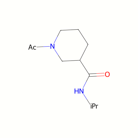 CC(=O)N1CCCC(C(=O)NC(C)C)C1